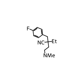 CCC(C#N)(CCNC)Cc1ccc(F)cc1